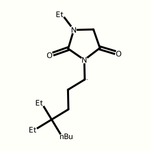 CCCCC(CC)(CC)CC[CH]N1C(=O)CN(CC)C1=O